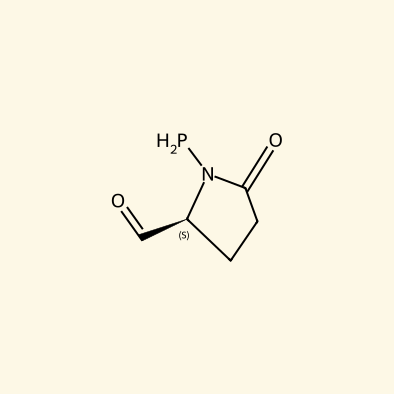 O=C[C@@H]1CCC(=O)N1P